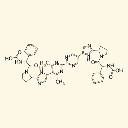 Cc1nc(-c2ncc(-c3cnc(C4CCCN4C(=O)C(NC(=O)O)c4ccccc4)[nH]3)cn2)nc(C)c1-c1cnc([C@@H]2CCCN2C(=O)[C@H](NC(=O)O)c2ccccc2)[nH]1